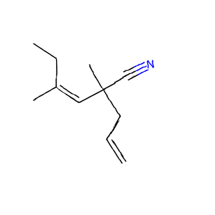 C=CCC(C)(C#N)C=C(C)CC